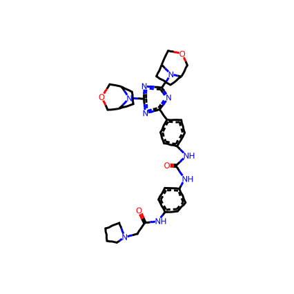 O=C(CN1CCCC1)Nc1ccc(NC(=O)Nc2ccc(-c3nc(N4C5CCC4COC5)nc(N4C5CCC4COC5)n3)cc2)cc1